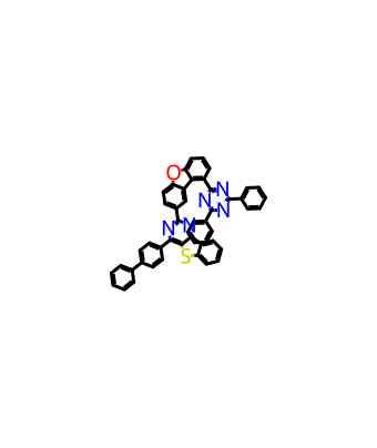 c1ccc(-c2ccc(-c3nc(-c4ccc5oc6cccc(-c7nc(-c8ccccc8)nc(-c8ccccc8)n7)c6c5c4)nc4c3sc3ccccc34)cc2)cc1